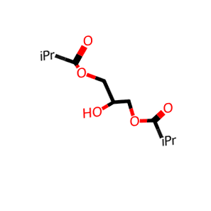 CC(C)C(=O)OCC(O)COC(=O)C(C)C